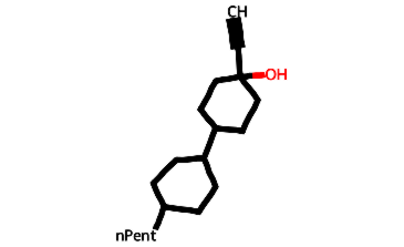 C#CC1(O)CCC(C2CCC(CCCCC)CC2)CC1